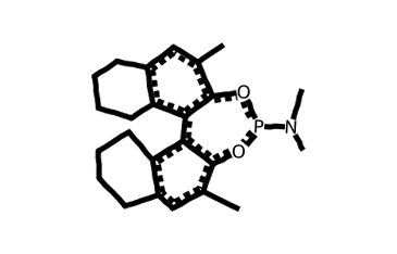 Cc1cc2c(c3c1op(N(C)C)oc1c(C)cc4c(c13)CCCC4)CCCC2